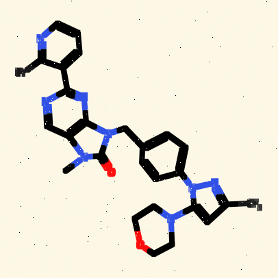 CC(C)c1ncccc1-c1ncc2c(n1)n(Cc1ccc(-n3nc(C(F)(F)F)cc3N3CCOCC3)cc1)c(=O)n2C